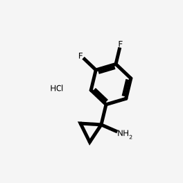 Cl.NC1(c2ccc(F)c(F)c2)CC1